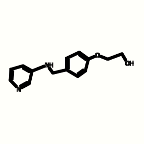 OCCOc1ccc(CNc2cccnc2)cc1